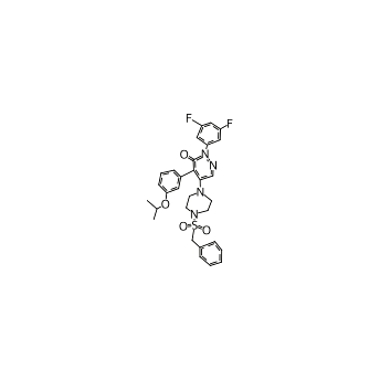 CC(C)Oc1cccc(-c2c(N3CCN(S(=O)(=O)Cc4ccccc4)CC3)cnn(-c3cc(F)cc(F)c3)c2=O)c1